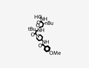 CCCC[C@H](CC(=O)N[C@H](C(=O)N1CCC(NC(=O)c2ccc(OC)cc2)CC1)C(C)(C)C)C(=O)NO